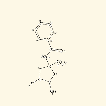 O=C(NC1(C(=O)O)CC(O)C(F)C1)c1ccccc1